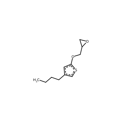 CCCCc1csc(OCC2CO2)c1